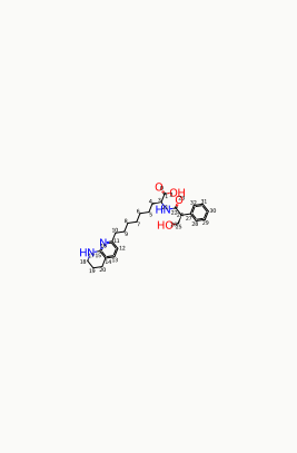 O=C(O)[C@H](CCCCCCCc1ccc2c(n1)NCCC2)NC(=O)[C@H](CO)c1ccccc1